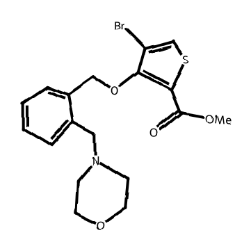 COC(=O)c1scc(Br)c1OCc1ccccc1CN1CCOCC1